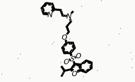 CC(C)c1oc2ccccc2c1S(=O)(=O)c1ccc(OCCCN(C)CCc2ccccn2)cc1